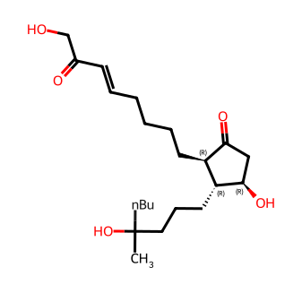 CCCCC(C)(O)CCC[C@H]1[C@H](O)CC(=O)[C@@H]1CCCCC=CC(=O)CO